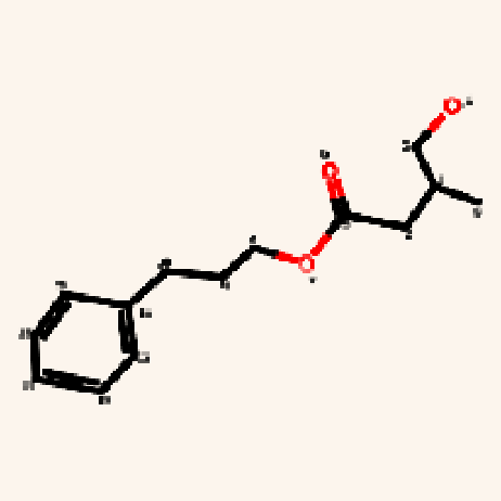 CC(C[O])CC(=O)OCCCc1ccccc1